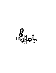 C=CC(=O)Nc1ccc(CNc2nc(Nc3ccc(N4CCCCC4)cc3)ncc2Cl)cc1